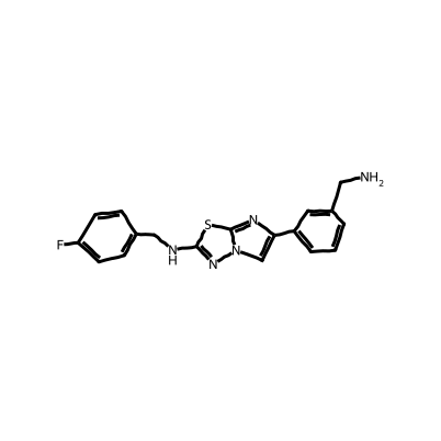 NCc1cccc(-c2cn3nc(NCc4ccc(F)cc4)sc3n2)c1